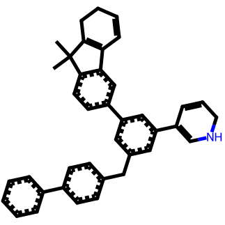 CC1(C)C2=C(C=CCC2)c2cc(-c3cc(Cc4ccc(-c5ccccc5)cc4)cc(C4=CNCC=C4)c3)ccc21